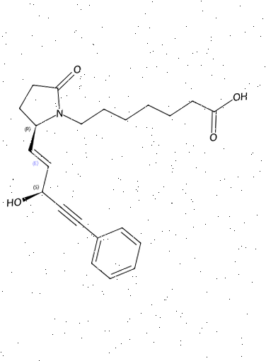 O=C(O)CCCCCCN1C(=O)CC[C@@H]1/C=C/[C@H](O)C#Cc1ccccc1